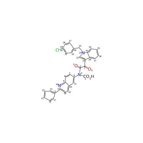 O=C(C(=O)N(C(=O)O)c1ccc2nc(-c3ccccc3)ccc2c1)c1cn(Cc2ccc(Cl)cc2)c2ccccc12